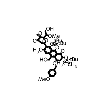 COc1ccc(CO[C@H]2CC(O[Si](C)(C)C(C)(C)C)C(=O)c3c2c(CO)c2cc(C)c(C4OC5(C(CO)OC)OC4C(=O)[C@@]54CO4)c4c2c3O[Si](C(C)(C)C)(C(C)(C)C)O4)cc1